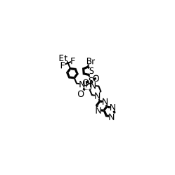 CCC(F)(F)c1ccc(CNC(=O)[C@H]2CN(c3cnc4cncnc4n3)CCN2S(=O)(=O)c2ccc(Br)s2)cc1